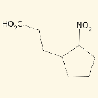 O=C(O)CCC1CCCC1[N+](=O)[O-]